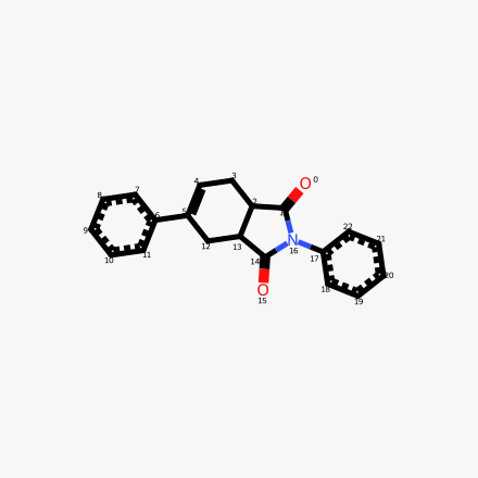 O=C1C2CC=C(c3ccccc3)CC2C(=O)N1c1ccccc1